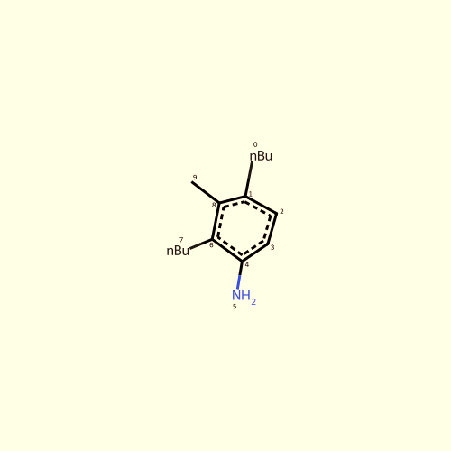 CCCCc1ccc(N)c(CCCC)c1C